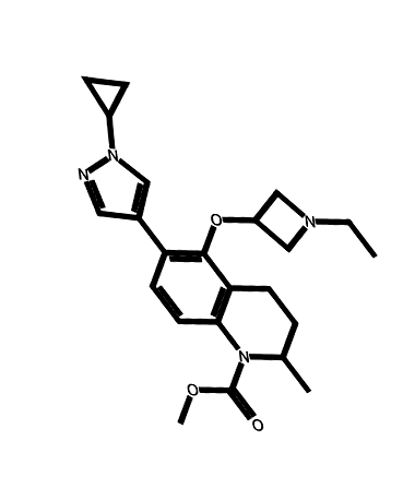 CCN1CC(Oc2c(-c3cnn(C4CC4)c3)ccc3c2CCC(C)N3C(=O)OC)C1